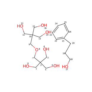 OCC(CO)(CO)COCC(CO)(CO)CO.OCCCc1ccccc1